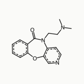 CN(C)CCN1C(=O)c2ccccc2Oc2cnccc21